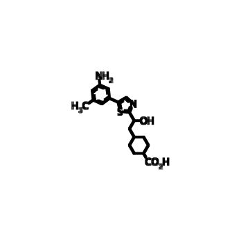 Cc1cc(N)cc(-c2cnc(C(O)CC3CCC(C(=O)O)CC3)s2)c1